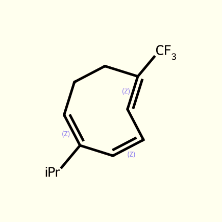 CC(C)C1=C/CC/C(C(F)(F)F)=C/C=C\1